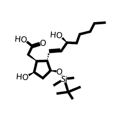 CCCCC[C@H](O)C=C[C@H]1[C@H](CC(=O)O)[C@H](O)C[C@@H]1O[Si](C)(C)C(C)(C)C